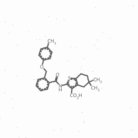 Cc1ccc(OCc2ccccc2C(=O)Nc2sc3c(c2C(=O)O)CC(C)(C)CC3)cc1